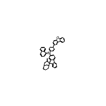 CC1CC2CCCC(C2)C12c1ccccc1-c1ccc(N(c3ccc(-c4ccc5oc6ccccc6c5c4)cc3)c3cccc4ccccc34)cc12